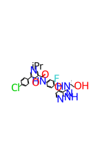 CC(C)n1cc(C(=O)Nc2ccc(Oc3ccnc4[nH]nc(N[C@H](C)CO)c34)c(F)c2)c(=O)c(-c2ccc(Cl)cc2)c1